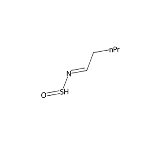 CCCC/C=N/[SH]=O